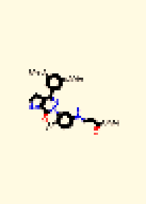 COC(=O)CCNc1ccc(C(F)(F)F)c(-n2nc(-c3cc(OC)cc(OC)c3)c3c(c2=O)NCC3)c1